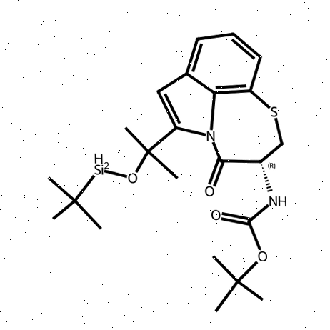 CC(C)(C)OC(=O)N[C@H]1CSc2cccc3cc(C(C)(C)O[SiH2]C(C)(C)C)n(c23)C1=O